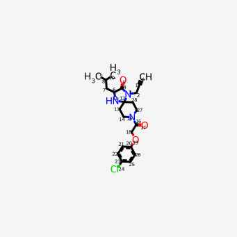 C#CCN1C(=O)C(CC(C)C)NC12CCN(C(=O)COc1ccc(Cl)cc1)CC2